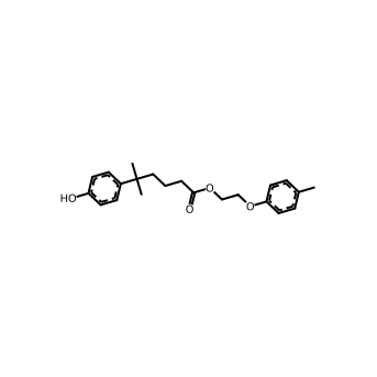 Cc1ccc(OCCOC(=O)CCCC(C)(C)c2ccc(O)cc2)cc1